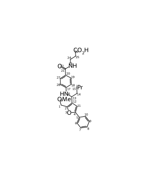 COCc1oc(-c2ccccc2)cc1C(CC(C)C)Nc1ccc(C(=O)NCCC(=O)O)cc1